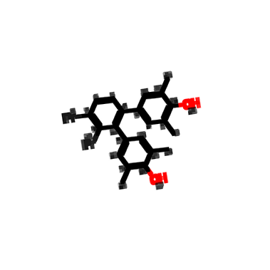 Cc1cc(-c2ccc(C(C)C)c(C(C)C)c2-c2cc(C)c(O)c(C)c2)cc(C)c1O